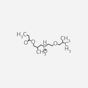 CCC(=O)OCC(C)C[PH](=O)CCOCC(C)C